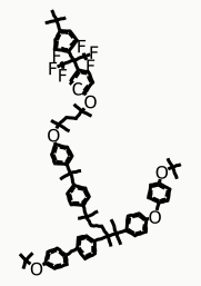 CC(C)(C)Oc1ccc(Oc2ccc(C(C)(C)C(C)(CCC(C)(C)c3ccc(C(C)(C)c4ccc(OC(C)(C)CCC(C)(C)Oc5ccc(C(c6ccc(C(C)(C)C)cc6)(C(F)(F)F)C(F)(F)F)cc5)cc4)cc3)c3ccc(-c4ccc(OC(C)(C)C)cc4)cc3)cc2)cc1